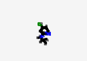 C[N+](=c1cc(Cl)cc[nH]1)[Si](C)(C)C